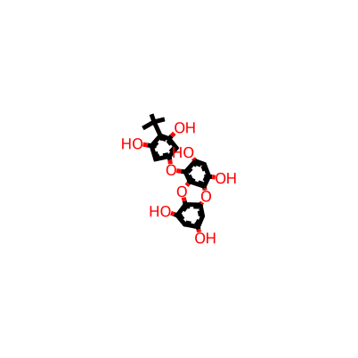 CC(C)(C)c1c(O)cc(Oc2c(O)cc(O)c3c2Oc2c(O)cc(O)cc2O3)cc1O